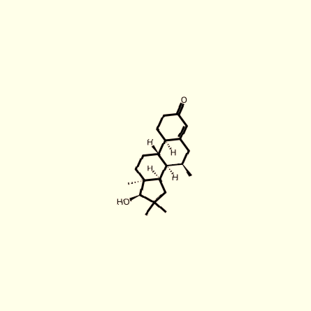 C[C@@H]1CC2=CC(=O)CC[C@@H]2[C@H]2CC[C@@]3(C)[C@H](CC(C)(C)[C@H]3O)[C@@H]21